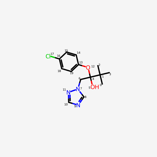 CC(C)(C)C(O)(Cn1cncn1)Oc1ccc(Cl)cc1